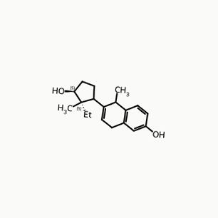 CC[C@@]1(C)C(C2=CCc3cc(O)ccc3C2C)CC[C@@H]1O